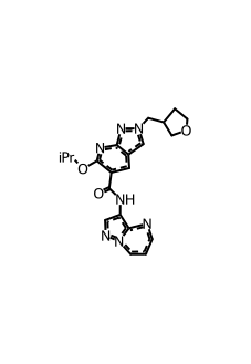 CC(C)Oc1nc2nn(CC3CCOC3)cc2cc1C(=O)Nc1cnn2cccnc12